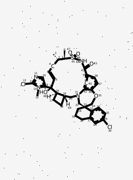 C[C@@H]1[C@@H](C)C/C=C/[C@@](O)(c2cnc(Cl)n2C)[C@@H]2CC[C@H]2CN2C[C@@]3(CCCc4cc(Cl)ccc43)COc3ccc(cc32)C(=O)NS1(=O)=O